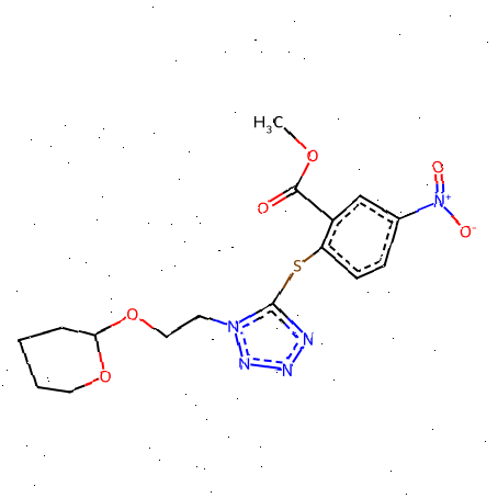 COC(=O)c1cc([N+](=O)[O-])ccc1Sc1nnnn1CCOC1CCCCO1